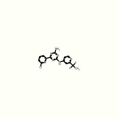 CC(F)(F)c1cc(Nc2nc(N)nc(-c3cccc(Cl)n3)n2)ccn1